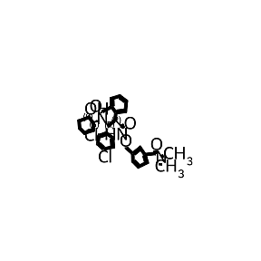 CN(C)C(=O)c1cccc(CONC(=O)[C@@H]2c3ccccc3C(=O)N([C@H]3CCCC[C@@H]3O)[C@H]2c2ccc(Cl)cc2Cl)c1